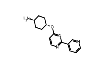 N[C@H]1CC[C@H](Oc2ccnc(-c3cccnc3)n2)CC1